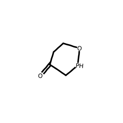 O=C1CCOPC1